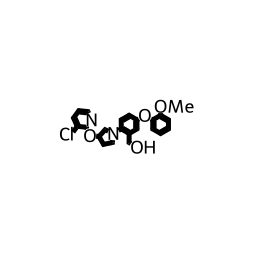 COc1ccccc1Oc1ccc(N2CCC(Oc3ncccc3Cl)C2)c(CO)c1